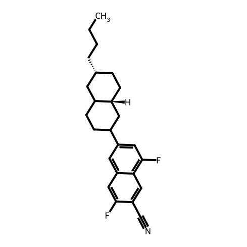 CCCC[C@@H]1CC[C@@H]2CC(c3cc(F)c4cc(C#N)c(F)cc4c3)CCC2C1